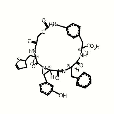 O=C1CCC(=O)N[C@H](CC2CC=CS2)C(=O)N[C@@H](Cc2cccc(O)c2)C(=O)N[C@H](Cc2ccccc2)C(=O)N[C@H](C(=O)O)Cc2ccc(cc2)N1